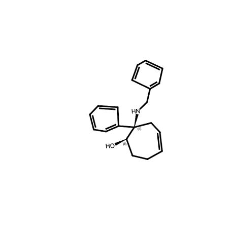 O[C@@H]1CCC=CC[C@@]1(NCc1ccccc1)c1ccccc1